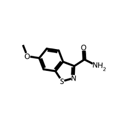 COc1ccc2c(C(N)=O)nsc2c1